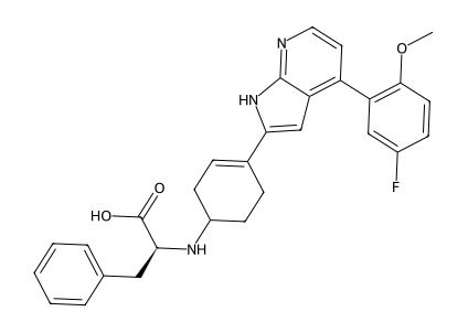 COc1ccc(F)cc1-c1ccnc2[nH]c(C3=CCC(N[C@@H](Cc4ccccc4)C(=O)O)CC3)cc12